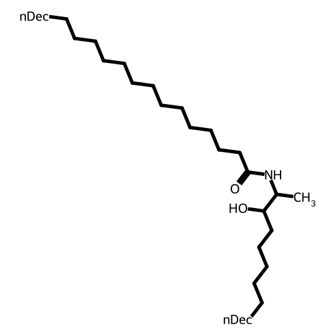 CCCCCCCCCCCCCCCCCCCCCCCC(=O)NC(C)C(O)CCCCCCCCCCCCCCC